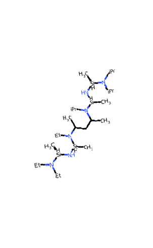 CCN(CC)[SiH](C)N[SiH](C)N(CC)C(C)CC(C)N(C(C)C)[SiH](C)N[SiH](C)N(C(C)C)C(C)C